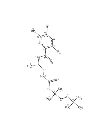 C[C@@H](CNC(=O)CC(C)(C)COC(C)(C)O)NC(=O)c1cc(O)c(F)cc1F